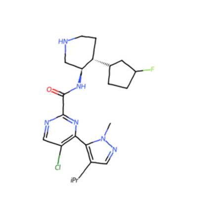 CC(C)c1cnn(C)c1-c1nc(C(=O)N[C@H]2CNCC[C@@H]2C2CCC(F)C2)ncc1Cl